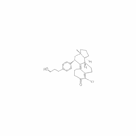 C[C@@]12CCC[C@H]1[C@@H]1CCC3=C(Cl)C(=O)CCC3=C1[C@@H](c1ccc(CCCO)cc1)C2